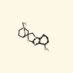 [BH3-][N+]12CCC(CC1)C1(Cn3c(nc4c(C)cccc43)O1)C2